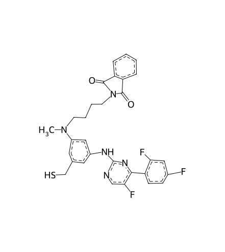 CN(CCCCN1C(=O)c2ccccc2C1=O)c1cc(CS)cc(Nc2ncc(F)c(-c3ccc(F)cc3F)n2)c1